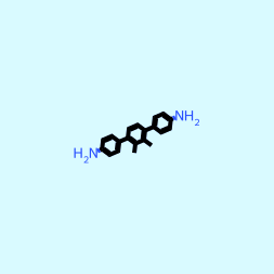 Cc1c(-c2ccc(N)cc2)ccc(-c2ccc(N)cc2)c1C